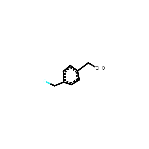 O=CCc1ccc(CF)cc1